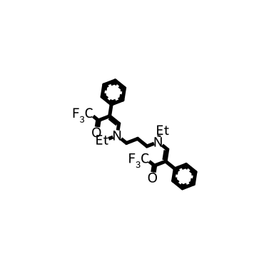 CCN(/C=C(\C(=O)C(F)(F)F)c1ccccc1)CCCN(/C=C(\C(=O)C(F)(F)F)c1ccccc1)CC